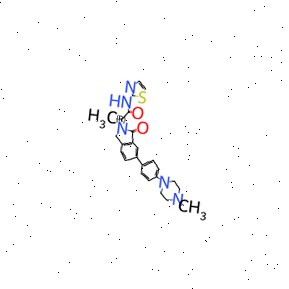 C[C@H](C(=O)Nc1nccs1)N1Cc2ccc(-c3ccc(N4CCN(C)CC4)cc3)cc2C1=O